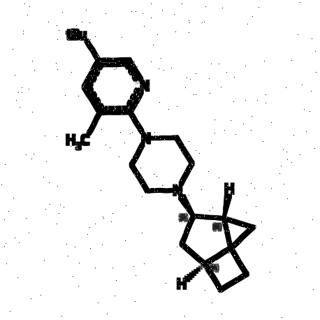 Cc1cc(C(C)(C)C)cnc1N1CCN([C@@H]2C[C@@H]3CCC34C[C@@H]24)CC1